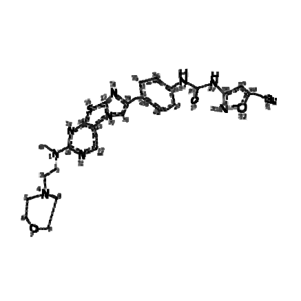 CN(CCN1CCOCC1)c1ncc2c(n1)sc1nc(-c3ccc(NC(=O)Nc4cc(C(C)(C)C)on4)cc3)cn12